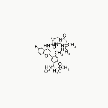 Cc1cc2c(cc1C1CC(NC(=O)[C@@H]3CC3CN3C(=N)NC(C)(C)CC3=O)c3cc(F)ccc3O1)C(NC=O)CC(C)(C)O2